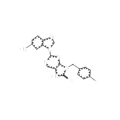 [C-]#[N+]c1ccc2ncn(-c3ncc4[nH]c(=O)n(Cc5ccc(Cl)cc5)c4n3)c2c1